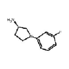 N[C@@H]1CCN(c2cccc(F)c2)C1